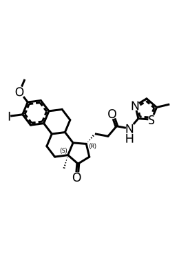 COc1cc2c(cc1I)C1CC[C@]3(C)C(=O)C[C@@H](CCC(=O)Nc4ncc(C)s4)C3C1CC2